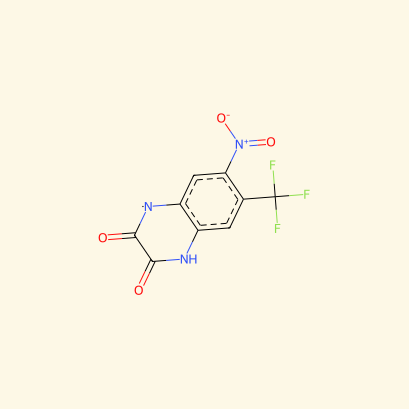 O=C1[N]c2cc([N+](=O)[O-])c(C(F)(F)F)cc2NC1=O